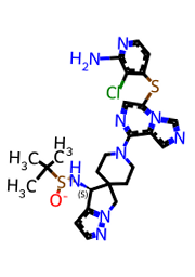 CC(C)(C)[S+]([O-])N[C@@H]1c2ccnn2CC12CCN(c1ncc(Sc3ccnc(N)c3Cl)n3cncc13)CC2